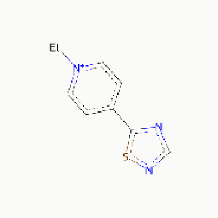 C[CH][n+]1ccc(-c2ncns2)cc1